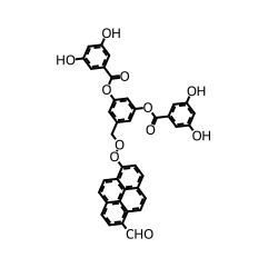 O=Cc1ccc2ccc3c(OOCc4cc(OC(=O)c5cc(O)cc(O)c5)cc(OC(=O)c5cc(O)cc(O)c5)c4)ccc4ccc1c2c43